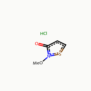 COn1sccc1=O.Cl